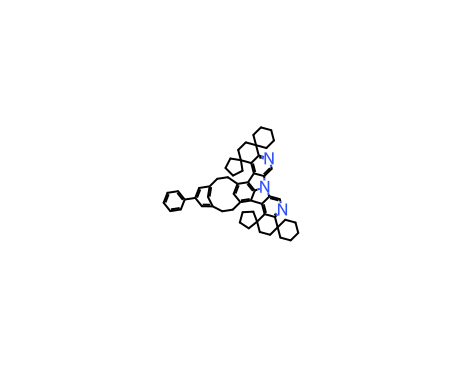 c1ccc(-c2cc3cc(c2)CCc2cc(c4c5c6c(ncc5n5c7cnc8c(c7c2c45)C2(CCCC2)CCC82CCCCC2)C2(CCCCC2)CCC62CCCC2)CC3)cc1